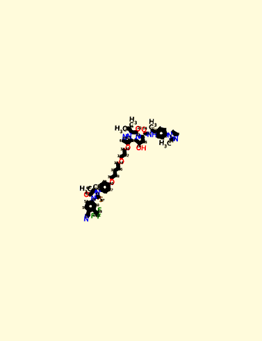 Cc1nccn1-c1ccc(C(C)NC(=O)[C@@H]2C[C@@H](O)CN2C(=O)C(C(C)C)n2cc(OCCCOCCCCCOc3ccc(N4C(=S)N(c5ccc(C#N)c(C(F)(F)F)c5)C(=O)C4(C)C)cc3)cn2)cc1